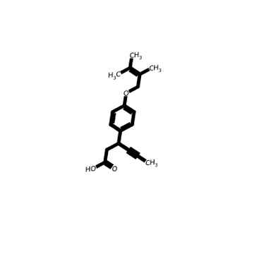 CC#CC(CC(=O)O)c1ccc(OCC(C)=C(C)C)cc1